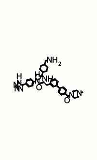 CN1CCN(C(=O)c2ccc(-c3cccc(C[C@H](NC(=O)C4CCC(CN)CC4)C(=O)Nc4ccc(-c5nnn[nH]5)cc4)c3)cc2)CC1